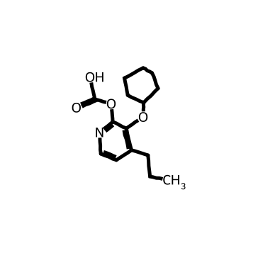 CCCc1ccnc(OC(=O)O)c1OC1CCCCC1